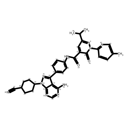 Cc1ccc(-n2nc(C(C)C)cc(C(=O)Nc3ccc(-c4nn(C5CCC(C#N)CC5)c5ncnc(N)c45)cc3)c2=O)nc1